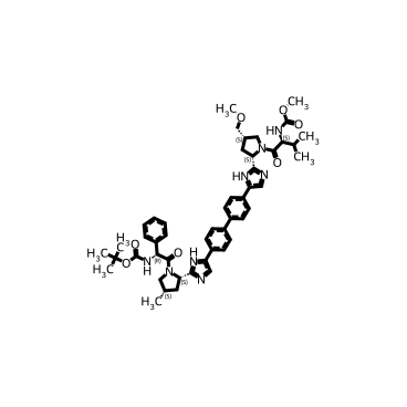 COC[C@H]1C[C@@H](c2ncc(-c3ccc(-c4ccc(-c5cnc([C@@H]6C[C@H](C)CN6C(=O)[C@H](NC(=O)OC(C)(C)C)c6ccccc6)[nH]5)cc4)cc3)[nH]2)N(C(=O)[C@@H](NC(=O)OC)C(C)C)C1